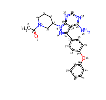 CC(=O)N1CCCC(n2nc(-c3ccc(Oc4ccccc4)cc3)c3c(N)ncnc32)C1